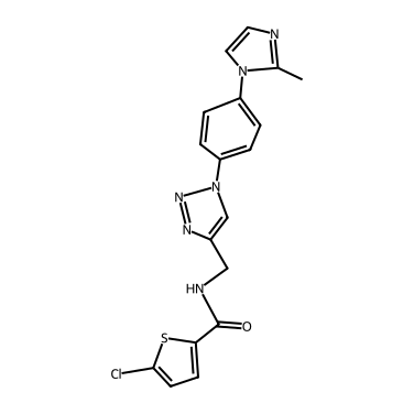 Cc1nccn1-c1ccc(-n2cc(CNC(=O)c3ccc(Cl)s3)nn2)cc1